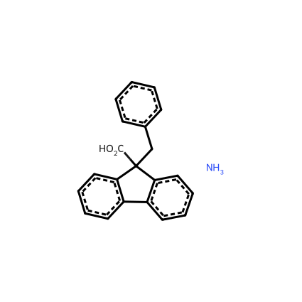 N.O=C(O)C1(Cc2ccccc2)c2ccccc2-c2ccccc21